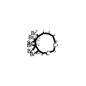 Br[C]1CCCCCCCCC(Br)C(Br)(Br)C1(Br)Br